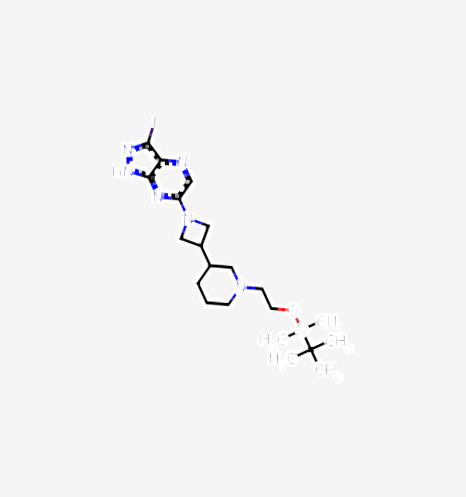 CC(C)(C)[Si](C)(C)OCCN1CCCC(C2CN(c3cnc4c(I)n[nH]c4n3)C2)C1